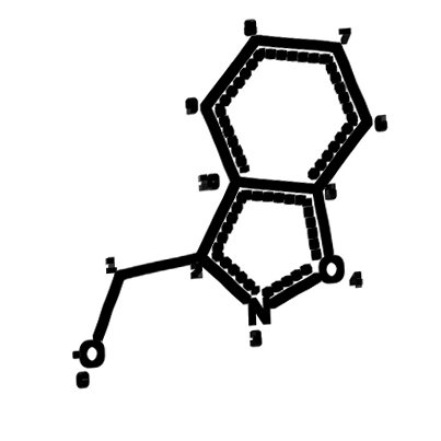 [O]Cc1noc2ccccc12